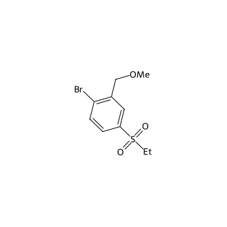 CCS(=O)(=O)c1ccc(Br)c(COC)c1